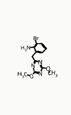 COc1nc(Cc2cccc(Br)c2N)nc(OC)n1